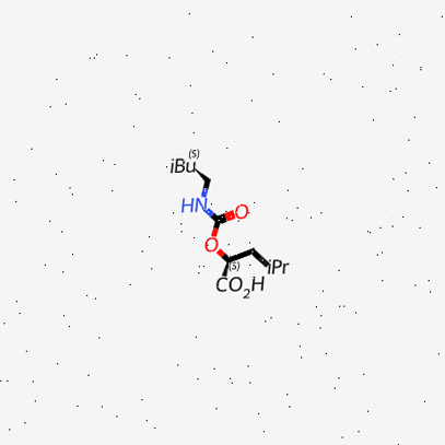 CC[C@H](C)CNC(=O)O[C@@H](CC(C)C)C(=O)O